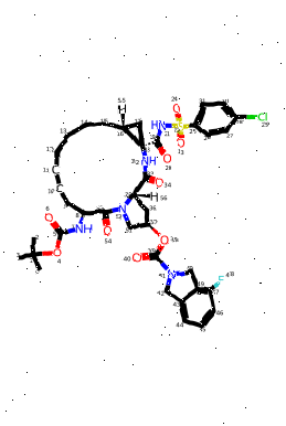 CC(C)(C)OC(=O)N[C@H]1CCCCCCC[C@@H]2C[C@@]2(C(=O)NS(=O)(=O)c2ccc(Cl)cc2)NC(=O)[C@@H]2C[C@@H](OC(=O)N3Cc4cccc(F)c4C3)CN2C1=O